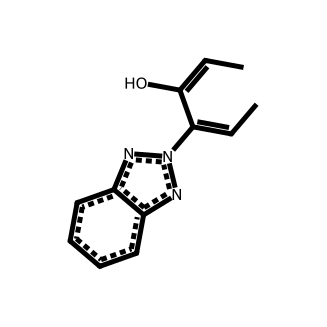 C/C=C(O)\C(=C/C)n1nc2ccccc2n1